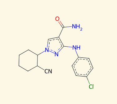 N#CC1CCCCC1n1cc(C(N)=O)c(Nc2ccc(Cl)cc2)n1